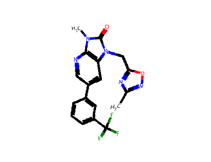 Cc1noc(Cn2c(=O)n(C)c3ncc(-c4cccc(C(F)(F)F)c4)cc32)n1